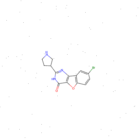 O=c1[nH]c(C2CCNC2)nc2c1oc1ccc(Br)cc12